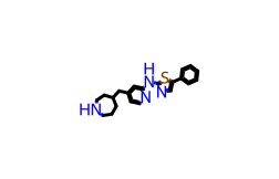 c1ccc(-c2cnc(Nc3cc(CC4CCCNCC4)ccn3)s2)cc1